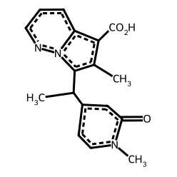 Cc1c(C(=O)O)c2cccnn2c1C(C)c1ccn(C)c(=O)c1